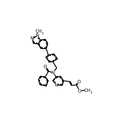 COC(=O)/C=C/c1cncc(N(Cc2ccc(-c3ccc4c(cnn4C)c3)cc2)C(=O)c2ccccc2)c1